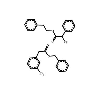 CCC(C(=O)OCCc1ccccc1)c1ccccc1.O=C(Cc1cccc(C(F)(F)F)c1)OCc1ccccc1